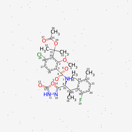 COc1c(S(=O)(=O)N[C@H](c2n[nH]c(=O)o2)[C@H](C)c2c(F)ccc(C)c2C)ccc(Cl)c1C(C)(C)OC(C)=O